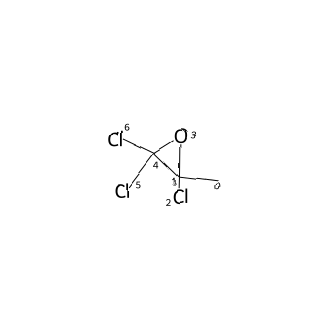 CC1(Cl)OC1(Cl)Cl